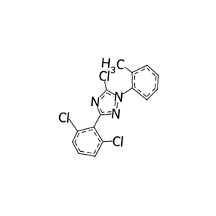 Cc1ccccc1-n1nc(-c2c(Cl)cccc2Cl)nc1Cl